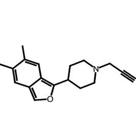 C#CCN1CCC(c2occ3cc(C)c(C)cc23)CC1